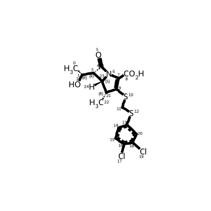 C[C@@H](O)[C@@H]1C(=O)N2C(C(=O)O)=C(SCSc3ccc(Cl)c(Cl)c3)[C@H](C)[C@H]12